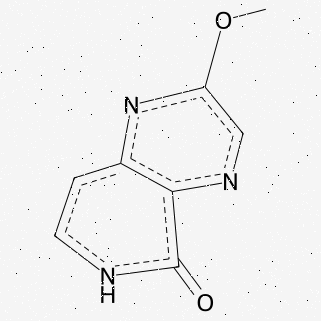 COc1cnc2c(=O)[nH]ccc2n1